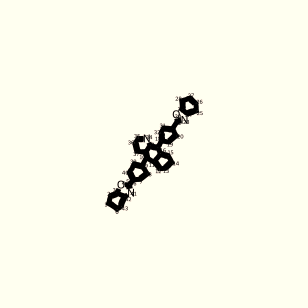 c1ccc2oc(-c3ccc(-c4c5ccccc5c(-c5ccc(-c6nc7ccccc7o6)cc5)c5ncccc45)cc3)nc2c1